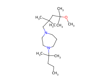 CCCC(C)(C)N1CCCN(CC(C)(C)CC(C)(C)OC)CC1